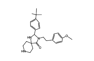 COc1ccc(CCN2C(=O)C3(CCNCC3)NC2c2ccc(C(C)(C)C)cc2)cc1